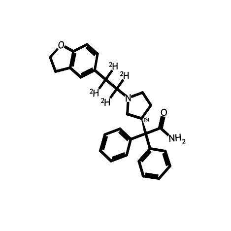 [2H]C([2H])(c1ccc2c(c1)CCO2)C([2H])([2H])N1CC[C@@H](C(C(N)=O)(c2ccccc2)c2ccccc2)C1